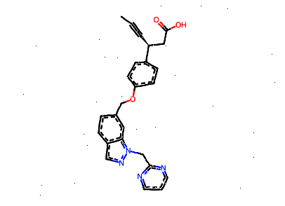 CC#C[C@@H](CC(=O)O)c1ccc(OCc2ccc3cnn(Cc4ncccn4)c3c2)cc1